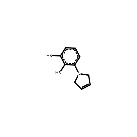 Sc1cccc(N2[C]C=CC2)c1S